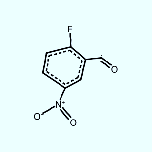 O=[C]c1cc([N+](=O)[O-])ccc1F